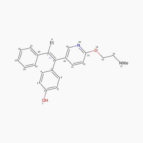 CC/C(=C(/c1ccc(O)cc1)c1ccc(OCCNC)nc1)c1ccccc1